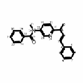 CC(/C=C/c1ccccc1)c1ccc(N(C)C(=O)c2ccccc2)cn1